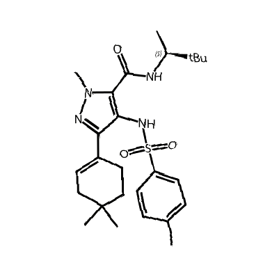 Cc1ccc(S(=O)(=O)Nc2c(C3=CCC(C)(C)CC3)nn(C)c2C(=O)N[C@@H](C)C(C)(C)C)cc1